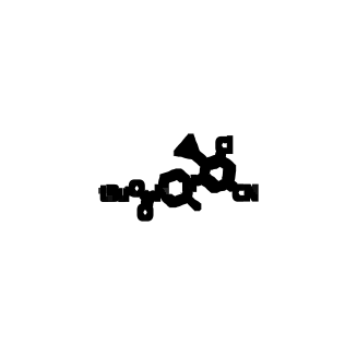 C[C@H]1CN(C(=O)OC(C)(C)C)CCN1c1cc(C#N)cc(Cl)c1C1CC1